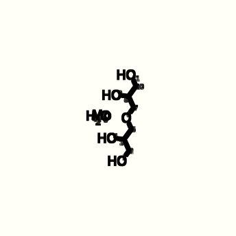 O.OCC(O)COCC(O)CO.[Mo]